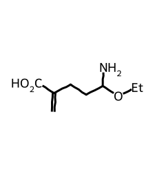 C=C(CCC(N)OCC)C(=O)O